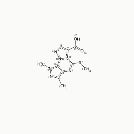 CSc1nc2c(C)nn(C)c2n2ncc(C(=O)O)c12